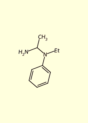 CCN(c1ccccc1)C(C)N